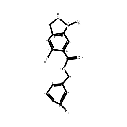 O=C(OCc1cccc(F)c1)c1cc2c(cc1F)COB2O